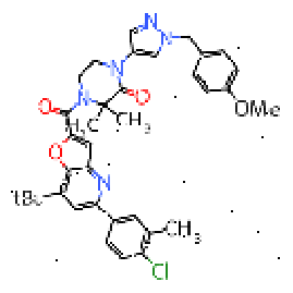 COc1ccc(Cn2cc(N3CCN(C(=O)c4cc5nc(-c6ccc(Cl)c(C)c6)cc(C(C)(C)C)c5o4)C(C)(C)C3=O)cn2)cc1